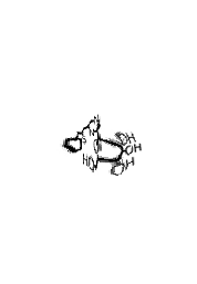 OCC1OC(c2cncc(Cc3cc4ccccc4s3)n2)[C@H](O)C(O)[C@@H]1O